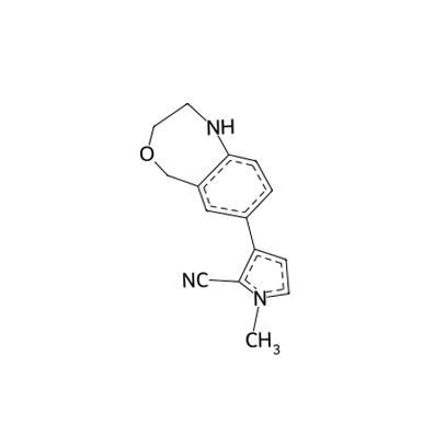 Cn1ccc(-c2ccc3c(c2)COCCN3)c1C#N